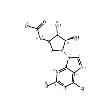 CCC(=O)NC1C[C@@H](n2cnc3c(Cl)nc(Cl)nc32)[C@H](O)C1O